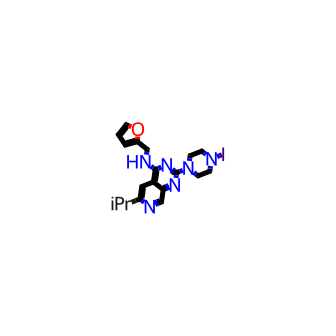 CC(C)c1cc2c(NCc3ccco3)nc(N3CCN(I)CC3)nc2cn1